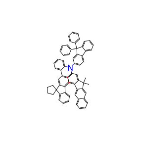 CC1(C)c2cc(N(c3ccc4c(c3)C(c3ccccc3)(c3ccccc3)c3ccccc3-4)c3ccccc3-c3ccc4c(c3)C3(CCCC3)c3ccccc3-4)ccc2-c2cc3ccccc3cc21